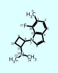 Cc1ccc2ccn(C3CCC3N(C)C)c2c1F